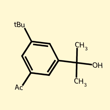 CC(=O)c1cc(C(C)(C)C)cc(C(C)(C)O)c1